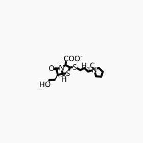 C[N+]1(CCCSC2S[C@@H]3[C@@H](CCO)C(=O)N3C2C(=O)[O-])CCCC1